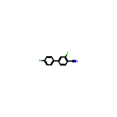 N#Cc1ccc(-c2ccc(F)cc2)cc1F